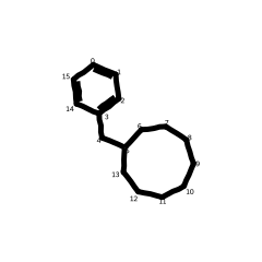 c1ccc(CC2CCCCCCCC2)cc1